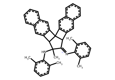 Cc1cccc(C)c1/N=C1\C2c3cc4ccccc4cc3C23c2cc4ccccc4cc2C3C1(C)Nc1c(C)cccc1C